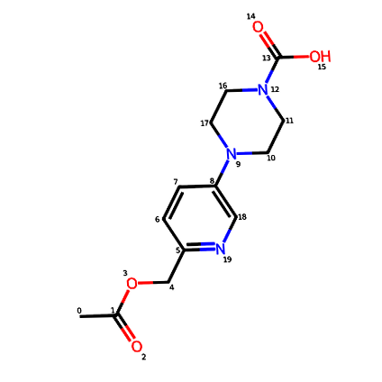 CC(=O)OCc1ccc(N2CCN(C(=O)O)CC2)cn1